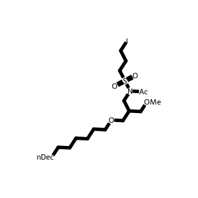 CCCCCCCCCCCCCCCCOCC(COC)CN(C(C)=O)S(=O)(=O)CCCI